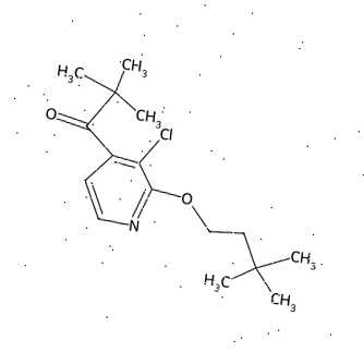 CC(C)(C)CCOc1nccc(C(=O)C(C)(C)C)c1Cl